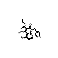 CCOC(=O)c1c(O)c2c(Br)ccnc2n(Cc2ccncc2)c1=O